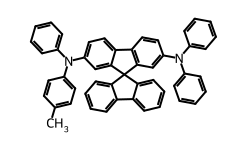 Cc1ccc(N(c2ccccc2)c2ccc3c(c2)C2(c4ccccc4-c4ccccc42)c2cc(N(c4ccccc4)c4ccccc4)ccc2-3)cc1